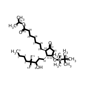 CCCCC(F)(F)C(O)CC[C@H]1[C@H](O[Si](C)(C)C(C)(C)C)CC(=O)[C@@H]1CCCCCCC(=O)OC(C)C